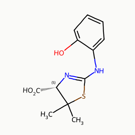 CC1(C)SC(Nc2ccccc2O)=N[C@H]1C(=O)O